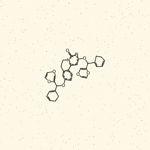 O=c1nc(OC(C2=CC=CCC2)C2=COC=CO2)cc2n1CCc1cc(OC(C3=CC=CCC3)C3=COC=CO3)ccc1-2